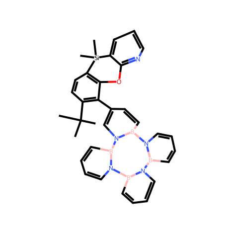 CC(C)(C)c1ccc2c(c1C1=CN3B4C=CC=CN4B4C=CC=CN4B4C=CC=CN4B3C=C1)Oc1ncccc1[Si]2(C)C